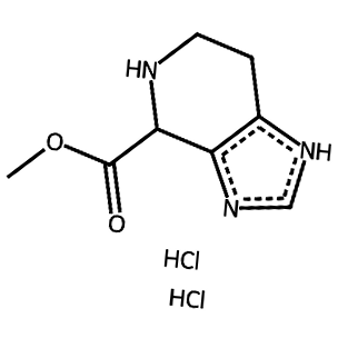 COC(=O)C1NCCc2[nH]cnc21.Cl.Cl